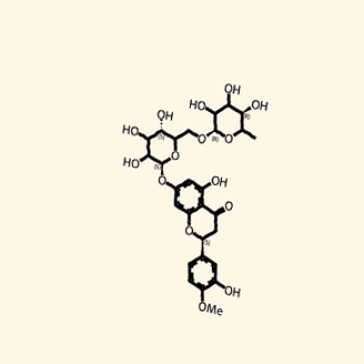 COc1ccc([C@@H]2CC(=O)c3c(O)cc(O[C@@H]4OC(CO[C@@H]5OC(C)[C@H](O)C(O)C5O)[C@@H](O)C(O)C4O)cc3O2)cc1O